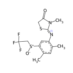 Cc1cc(C)c([S+]([O-])CC(F)(F)F)cc1/N=C1\SCC(=O)N1C